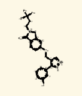 O=C1c2ccc(OCc3c[nH]nc3-c3cccc(F)c3)cc2CN1CCC(F)(F)F